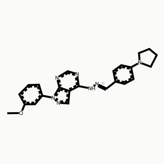 COc1cccc(-n2ncc3c(N/N=C/c4ccc(N5CCCC5)cc4)ncnc32)c1